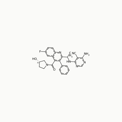 CC(Nc1ncnc(N)c1C#N)c1nc2ccc(F)cc2c(C(=O)N2CC[C@H](O)C2)c1-c1ccccc1